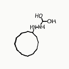 OC(O)NNC1CCCCCCCCCCC1